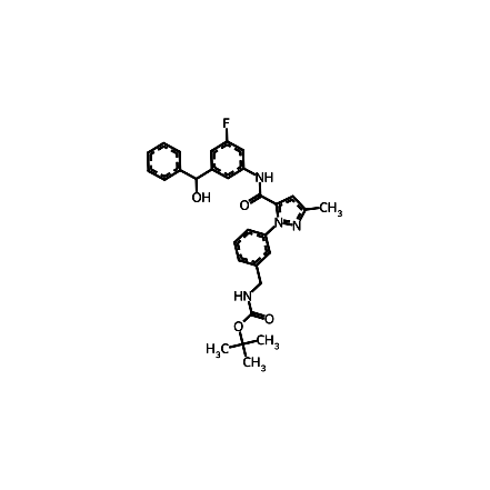 Cc1cc(C(=O)Nc2cc(F)cc(C(O)c3ccccc3)c2)n(-c2cccc(CNC(=O)OC(C)(C)C)c2)n1